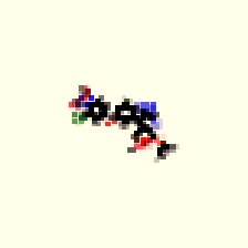 COCc1c(C(=O)OC(C)C)ncc2[nH]c3ccc(Oc4ccc([N+](=O)[O-])c(Cl)c4)cc3c12